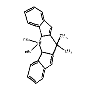 CCC[CH2][Hf]1([CH2]CCC)[CH]2C(=Cc3ccccc32)C(C)(C)C2=Cc3ccccc3[CH]21